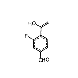 C=C(O)c1ccc(C=O)cc1F